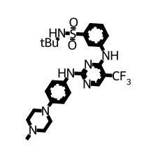 CN1CCN(c2ccc(Nc3ncc(C(F)(F)F)c(Nc4cccc(S(=O)(=O)NC(C)(C)C)c4)n3)cc2)CC1